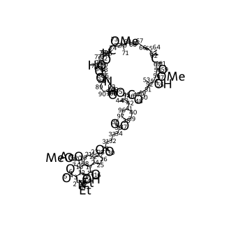 CCN(/C=C1/C(=O)O[C@H](COC)[C@@]2(C)C1=C(O)C(=O)C1=C2[C@H](OC(C)=O)C[C@@]2(C)C1CC[C@@H]2OC(=O)CCCCC(=O)O[C@H]1CC[C@H](C[C@@H](C)[C@@H]2CC(=O)[C@H](C)/C=C(\C)[C@@H](O)[C@@H](OC)C(=O)[C@H](C)C[C@H](C)/C=C/C=C/C=C(\C)[C@@H](OC)C[C@@H]3CC[C@@H](C)[C@@](O)(O3)C(=O)C(=O)N3CCCC[C@H]3C(=O)O2)CC1)CC